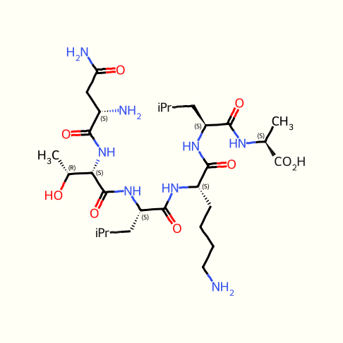 CC(C)C[C@H](NC(=O)[C@H](CCCCN)NC(=O)[C@H](CC(C)C)NC(=O)[C@@H](NC(=O)[C@@H](N)CC(N)=O)[C@@H](C)O)C(=O)N[C@@H](C)C(=O)O